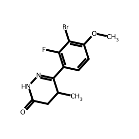 COc1ccc(C2=NNC(=O)CC2C)c(F)c1Br